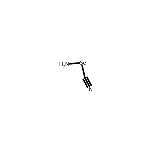 N#C[Se]N